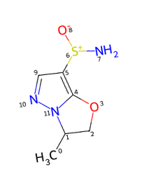 CC1COc2c([S+](N)[O-])cnn21